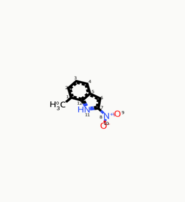 Cc1cccc2cc([N+](=O)[O-])[nH]c12